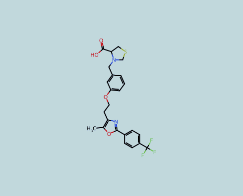 Cc1oc(-c2ccc(C(F)(F)F)cc2)nc1CCOc1cccc(CN2CSCC2C(=O)O)c1